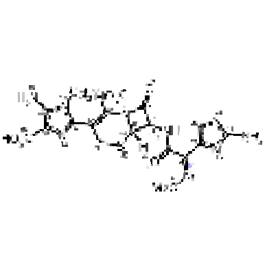 CO/N=C(\C(=O)N[C@@H]1C(=O)N2C(C(=O)O)=C(c3nc(C(=O)O)c(N)n3C)CS[C@@H]12)c1csc(N)n1